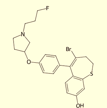 Oc1ccc2c(c1)SCCC(Br)=C2c1ccc(OC2CCN(CCCF)C2)cc1